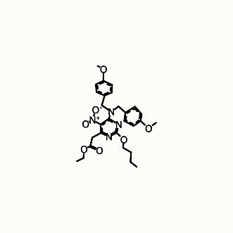 CCCCOc1nc(CC(=O)OCC)c([N+](=O)[O-])c(N(Cc2ccc(OC)cc2)Cc2ccc(OC)cc2)n1